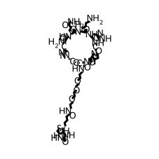 NCCCC[C@@H]1NC(=O)[C@H](CCC(N)=O)NC(=O)[C@@H](N)Cc2cn(nn2)CCCC[C@@H](C(=O)NCCCOCCOCCOCCCNC(=O)CCCC[C@H]2SC[C@H]3NC(=O)N[C@H]32)NC(=O)C2CCCN2C(=O)CNC(=O)[C@H](Cc2c[nH]cn2)NC1=O